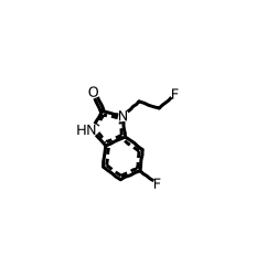 O=c1[nH]c2ccc(F)cc2n1CCF